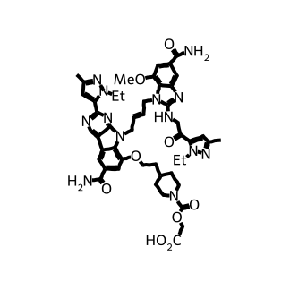 CCn1nc(C)cc1C(=O)CNc1nc2cc(C(N)=O)cc(OC)c2n1C/C=C/Cn1c2nc(-c3cc(C)nn3CC)ncc2c2cc(C(N)=O)cc(OCCC3CCN(C(=O)OCC(=O)O)CC3)c21